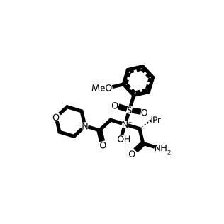 COc1ccccc1S(=O)(=O)[N+](O)(CC(=O)N1CCOCC1)[C@@H](C(N)=O)C(C)C